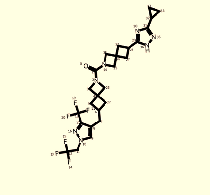 O=C(N1CC2(CC(Cc3cn(CC(F)(F)F)nc3C(F)(F)F)C2)C1)N1CC2(CC(c3nc(C4CC4)n[nH]3)C2)C1